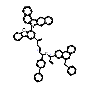 C=C/C(=N\C(/C=C/CC(=C)c1cc(-n2c3cc4ccccc4cc3c3c4ccccc4ccc32)c2oc3ccccc3c2c1)c1ccc(-c2ccccc2)cc1)c1ccc2c(c1)c(Cc1ccccc1)cc1ccccc12